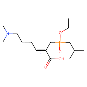 CCOP(=O)(C/C(=C\CCCN(C)C)C(=O)O)CC(C)C